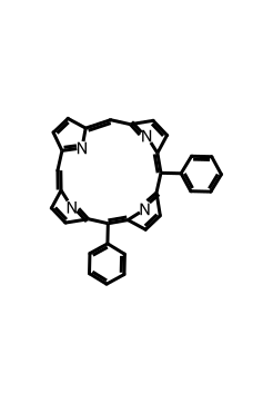 C1=CC2=NC1=CC1=NC(=C(c3ccccc3)C3=NC(=C(c4ccccc4)C4=NC(=C2)C=C4)C=C3)C=C1